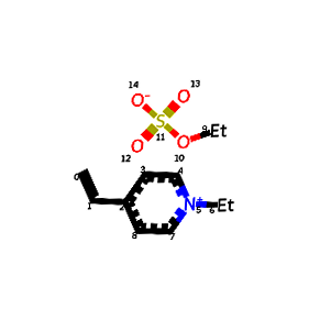 C=Cc1cc[n+](CC)cc1.CCOS(=O)(=O)[O-]